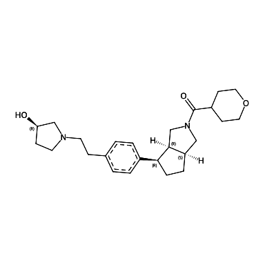 O=C(C1CCOCC1)N1C[C@H]2CC[C@@H](c3ccc(CCN4CC[C@@H](O)C4)cc3)[C@H]2C1